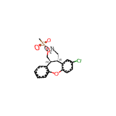 CS(=O)(=O)OC[C@@H]1c2ccccc2Oc2ccc(Cl)cc2[C@H]1C[N+](=O)[O-]